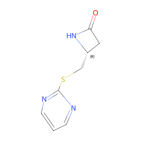 O=C1C[C@H](CSc2ncccn2)N1